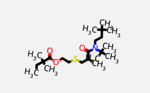 CCC(C)(C)C(=O)OCCSCC(C)C(=O)N(CCC(C)(C)C)C(C)(C)C